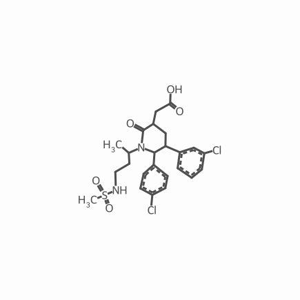 CC(CCNS(C)(=O)=O)N1C(=O)C(CC(=O)O)CC(c2cccc(Cl)c2)C1c1ccc(Cl)cc1